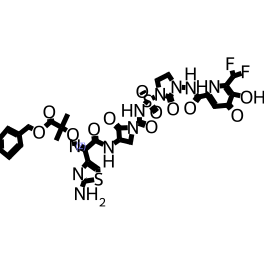 CC(C)(O/N=C(\C(=O)NC1CN(C(=O)NS(=O)(=O)N2CCN(NC(=O)c3cc(=O)c(O)c(C(F)F)[nH]3)C2=O)C1=O)c1csc(N)n1)C(=O)OCc1ccccc1